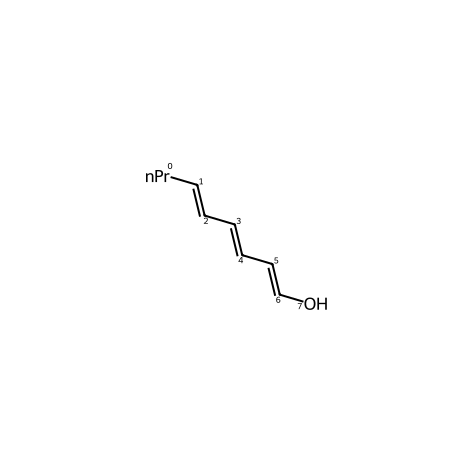 CCCC=CC=CC=CO